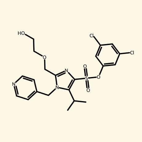 CC(C)c1c(S(=O)(=O)Oc2cc(Cl)cc(Cl)c2)nc(COCCO)n1Cc1ccncc1